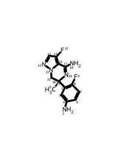 C[C@@]1(c2cc(N)ccc2F)Cn2ncc(F)c2C(N)=N1